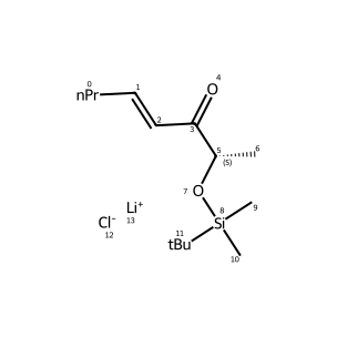 CCCC=CC(=O)[C@H](C)O[Si](C)(C)C(C)(C)C.[Cl-].[Li+]